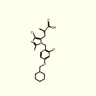 Cc1nc(Cl)c(CC(C)C(=O)O)n1Cc1ccc(OCC2CCCCC2)cc1Cl